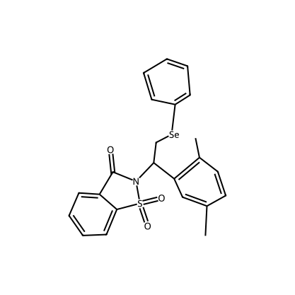 Cc1ccc(C)c(C(C[Se]c2ccccc2)N2C(=O)c3ccccc3S2(=O)=O)c1